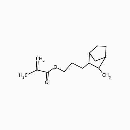 C=C(C)C(=O)OCCCC1C2CCC(C2)C1C